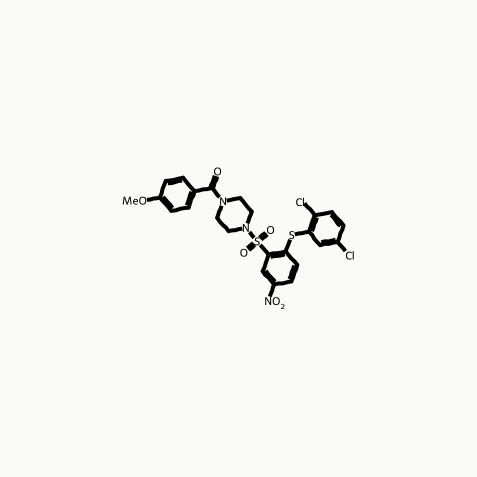 COc1ccc(C(=O)N2CCN(S(=O)(=O)c3cc([N+](=O)[O-])ccc3Sc3cc(Cl)ccc3Cl)CC2)cc1